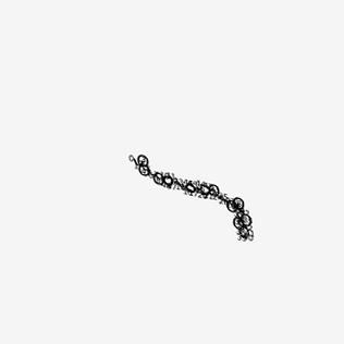 C=CC(=O)OCCCOc1ccc(/C=C/c2ccc(-c3ccc(OCCCCOC(=O)C(=C)CC(=O)OC4CCCCC4)cc3)cc2)cc1